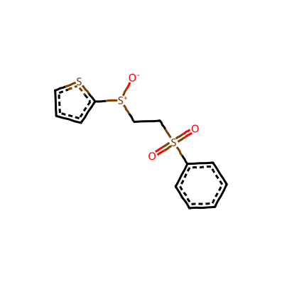 O=S(=O)(CC[S+]([O-])c1cccs1)c1ccccc1